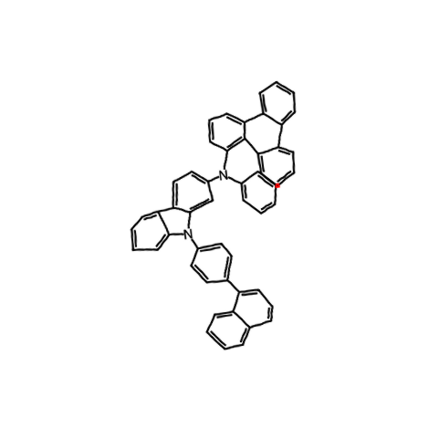 c1ccc(N(c2ccc3c4ccccc4n(-c4ccc(-c5cccc6ccccc56)cc4)c3c2)c2cccc3c4ccccc4c4ccccc4c23)cc1